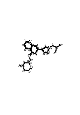 FC(F)Cn1cc(-c2cc3ncccc3c(OC[C@@H]3CNCCO3)n2)cn1